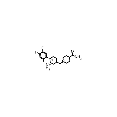 NC(=O)C1CCN(CC2=CC[C@H](c3cc(F)c(F)cc3F)[C@@H](N)C2)CC1